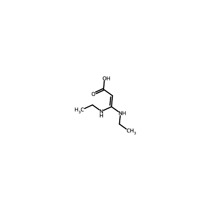 CCNC(=CC(=O)O)NCC